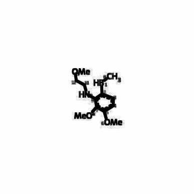 CBc1ccc(OC)c(OC)c1NCCOC